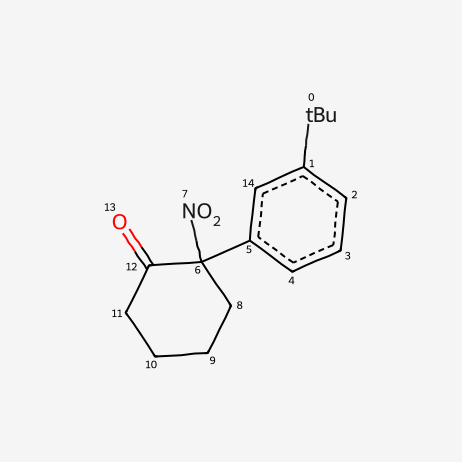 CC(C)(C)c1cccc(C2([N+](=O)[O-])CCCCC2=O)c1